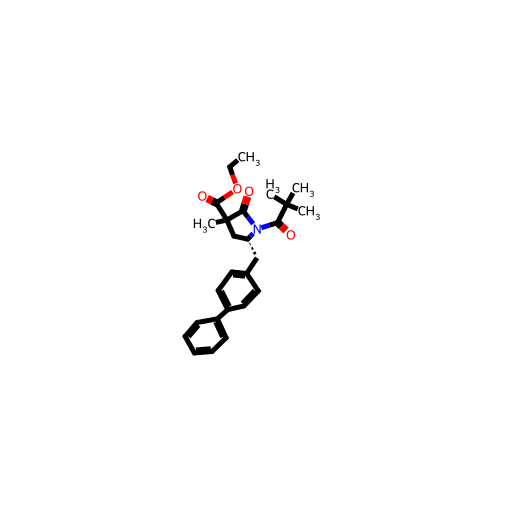 CCOC(=O)C1(C)C[C@@H](Cc2ccc(-c3ccccc3)cc2)N(C(=O)C(C)(C)C)C1=O